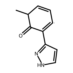 CC1C=C[C]=C(c2cc[nH]n2)C1=O